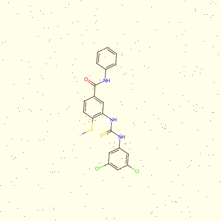 CSc1ccc(C(=O)Nc2ccccc2)cc1NC(=S)Nc1cc(Cl)cc(Cl)c1